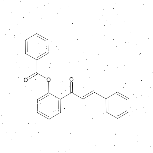 O=C(Oc1ccccc1C(=O)C=Cc1ccccc1)c1ccccc1